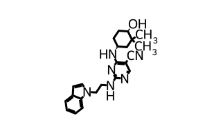 CC1(C)C[C@H](Nc2nc(NCCn3ccc4ccccc43)ncc2C#N)CC[C@@H]1O